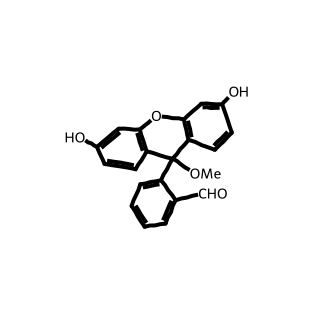 COC1(c2ccccc2C=O)c2ccc(O)cc2Oc2cc(O)ccc21